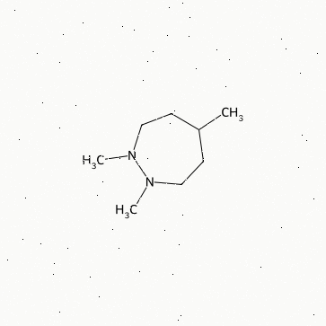 CC1CCN(C)N(C)CC1